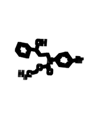 CCOC(=O)N(CCC(O)c1ccccc1)c1ccc(Br)cc1